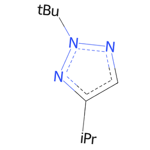 CC(C)c1cnn(C(C)(C)C)n1